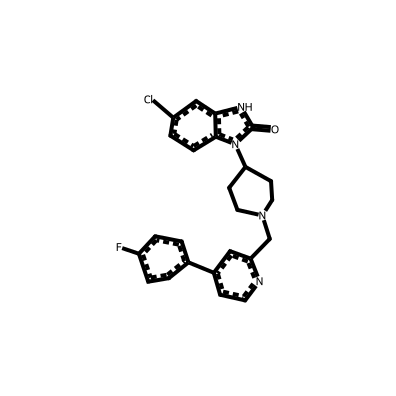 O=c1[nH]c2cc(Cl)ccc2n1C1CCN(Cc2cc(-c3ccc(F)cc3)ccn2)CC1